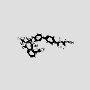 [2H]C([2H])([2H])N1C(=O)c2cccc(C#C)c2[C@H]2C[C@@H]1c1nc3ccc(-c4ccc(C(C)NC(=O)OC(C)(C)C)cc4)cc3n12